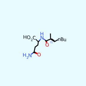 CCCC/C=C(\C)C(=O)NC(CCC(N)=O)C(=O)O